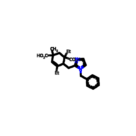 CCC1=CC(C)(C(=O)O)CC(CC)(C(=O)O)C1Cc1nccn1Cc1ccccc1